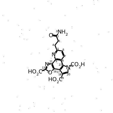 NC(=O)CCc1ccc2c(n1)c1nc(C(=O)O)oc1c1c(C(=O)O)cn(C(=O)O)c21